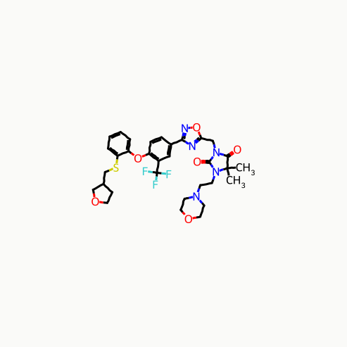 CC1(C)C(=O)N(Cc2nc(-c3ccc(Oc4ccccc4SCC4CCOC4)c(C(F)(F)F)c3)no2)C(=O)N1CCN1CCOCC1